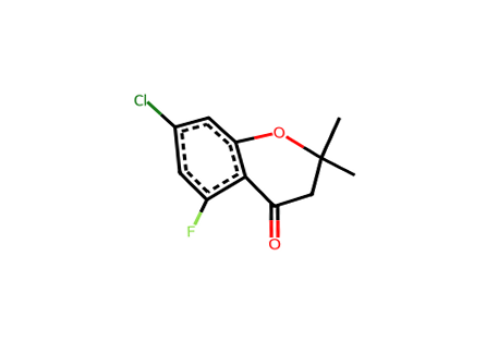 CC1(C)CC(=O)c2c(F)cc(Cl)cc2O1